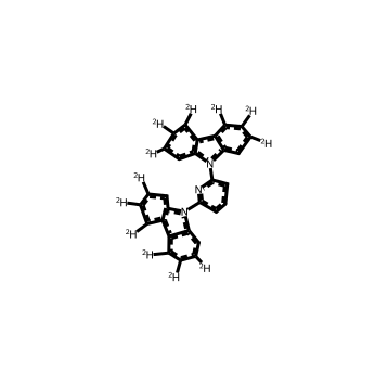 [2H]c1cc2c(c([2H])c1[2H])c1c([2H])c([2H])c([2H])cc1n2-c1cccc(-n2c3cc([2H])c([2H])c([2H])c3c3c([2H])c([2H])c([2H])cc32)n1